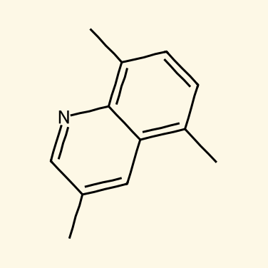 Cc1cnc2c(C)ccc(C)c2c1